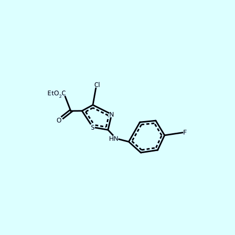 CCOC(=O)C(=O)c1sc(Nc2ccc(F)cc2)nc1Cl